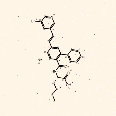 CSCC[C@H](NC(=O)c1ccc(C=Cc2cncc(Br)c2)cc1-c1ccccc1)C(=O)O.[Na]